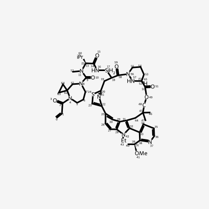 C=CC(=O)N1CCCN(C(=O)N(C)[C@H](C(=O)N[SiH2]C2Cc3nc(cs3)-c3ccc4c(c3)c(c(-c3cccnc3[C@H](C)OC)n4CC)CC(C)(C)COC(=O)[C@@H]3CCCN(N3)C2=O)C(C)C)CC12CC2